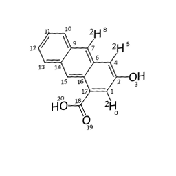 [2H]c1c(O)c([2H])c2c([2H])c3ccccc3cc2c1C(=O)O